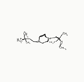 COC(C)(C)CN1CCN(CCC(C)(C)C)CC1